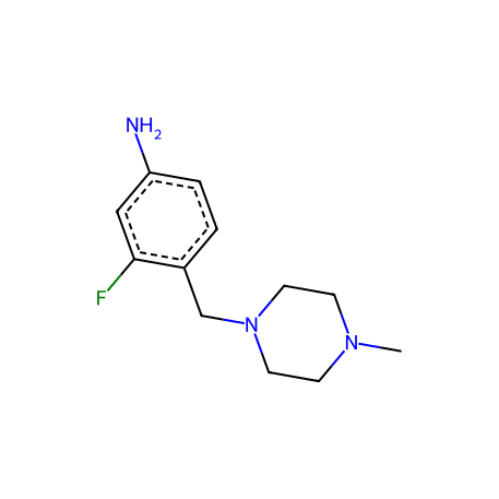 CN1CCN(Cc2ccc(N)cc2F)CC1